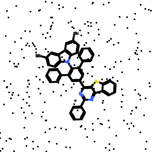 CC(C)(C)c1ccc2c(c1)c1cc(C#N)ccc1n2-c1c(-c2ccccc2)cc(-c2nc(-c3ccccc3)nc3c2sc2ccccc23)cc1-c1ccccc1